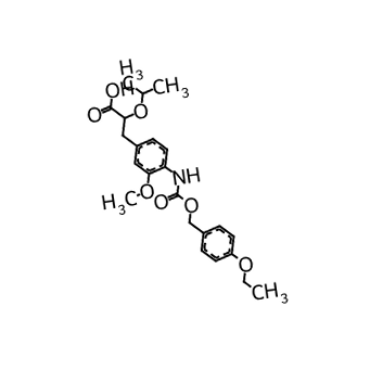 CCOc1ccc(COC(=O)Nc2ccc(CC(OC(C)C)C(=O)O)cc2OC)cc1